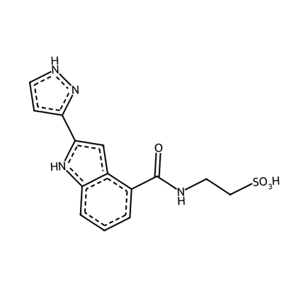 O=C(NCCS(=O)(=O)O)c1cccc2[nH]c(-c3cc[nH]n3)cc12